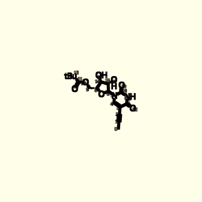 CC#Cc1cn(C2O[C@H](COC(=O)C(C)(C)C)[C@@H](O)[C@@H]2O)c(=O)[nH]c1=O